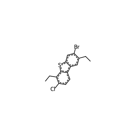 CCc1cc2c(cc1Br)sc1c(CC)c(Cl)ccc12